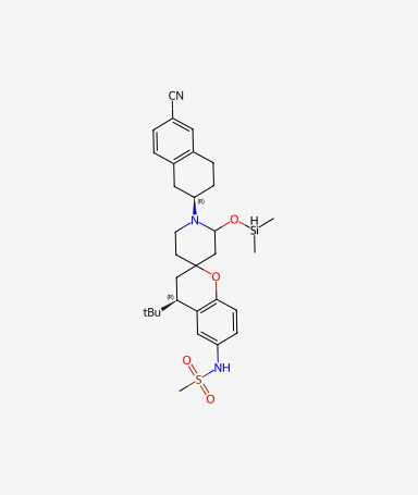 C[SiH](C)OC1CC2(CCN1[C@@H]1CCc3cc(C#N)ccc3C1)C[C@H](C(C)(C)C)c1cc(NS(C)(=O)=O)ccc1O2